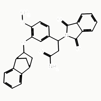 COc1ccc(C(CC(N)=O)N2C(=O)c3ccccc3C2=O)cc1OC1CC2CC1c1ccccc12